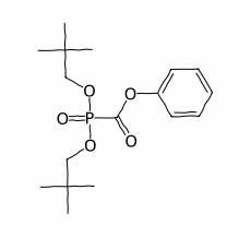 CC(C)(C)COP(=O)(OCC(C)(C)C)C(=O)Oc1ccccc1